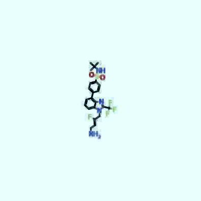 CC(C)(C)NS(=O)(=O)c1ccc(-c2cccc3c2nc(C(F)(F)F)n3CC(F)=CCN)cc1